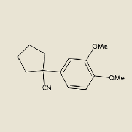 COc1ccc(C2(C#N)CCCC2)cc1OC